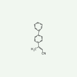 CC(=CC#N)c1ccc(-c2ccccc2)cc1